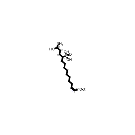 CCCCCCCC/C=C\CCCCCCCCC(CCC(N)O)P(=O)(O)O